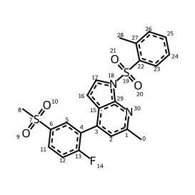 Cc1cc(-c2cc(S(C)(=O)=O)ccc2F)c2ccn(S(=O)(=O)c3ccccc3C)c2n1